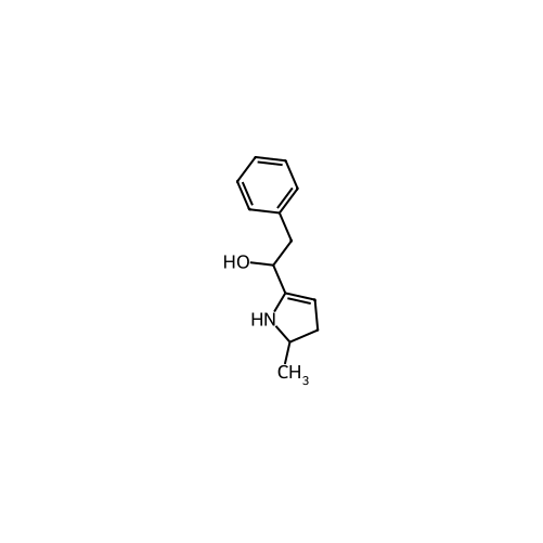 CC1CC=C(C(O)Cc2ccccc2)N1